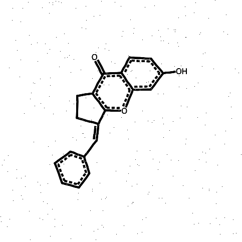 O=c1c2c(oc3cc(O)ccc13)C(=Cc1ccccc1)CC2